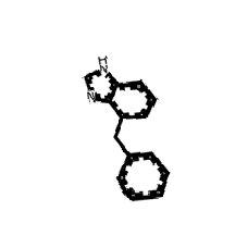 [c]1nc2c(Cc3ccccc3)cccc2[nH]1